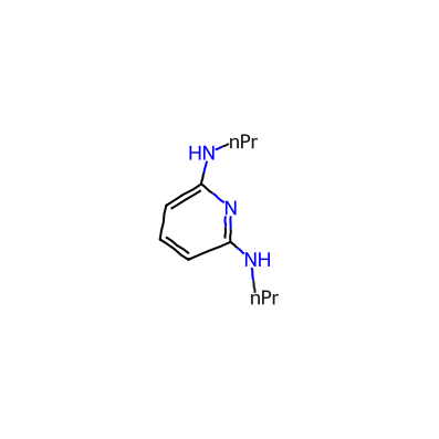 CCCNc1cccc(NCCC)n1